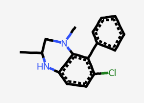 CC1CN(C)c2c(ccc(Cl)c2-c2ccccc2)N1